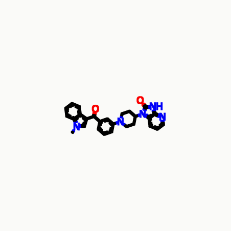 Cn1cc(C(=O)c2cccc(N3CCC(n4c(=O)[nH]c5ncccc54)CC3)c2)c2ccccc21